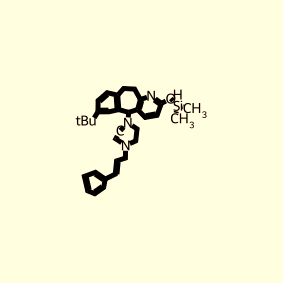 C[SiH](C)Oc1ccc2c(n1)CCc1ccc(C(C)(C)C)cc1C2N1CCN(CC=Cc2ccccc2)CC1